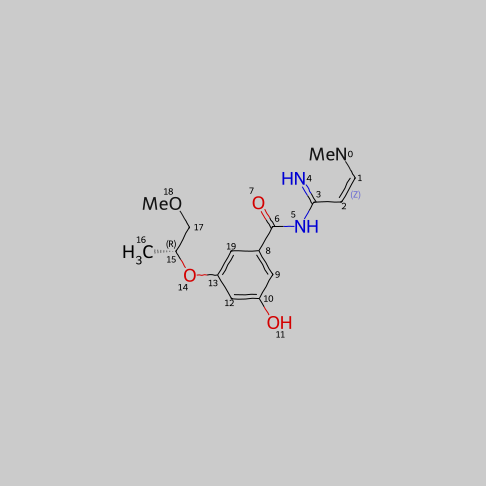 CN/C=C\C(=N)NC(=O)c1cc(O)cc(O[C@H](C)COC)c1